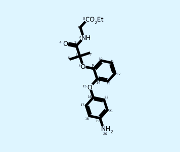 CCOC(=O)CNC(=O)C(C)(C)Oc1ccccc1Oc1ccc(N)cc1